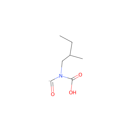 CCC(C)CN([C]=O)C(=O)O